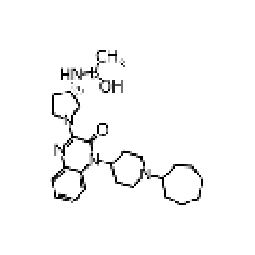 CB(O)N[C@H]1CCN(c2nc3ccccc3n(C3CCN(C4CCCCCC4)CC3)c2=O)C1